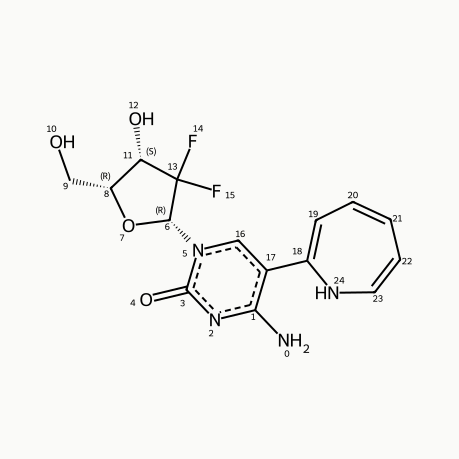 Nc1nc(=O)n([C@@H]2O[C@H](CO)[C@H](O)C2(F)F)cc1C1=CC=CC=CN1